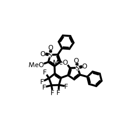 COC1=C(C2=C(C3=C(OC)S(=O)(=O)C(c4ccccc4)=C3)C(F)(F)C(F)(F)C2(F)F)C=C(c2ccccc2)S1(=O)=O